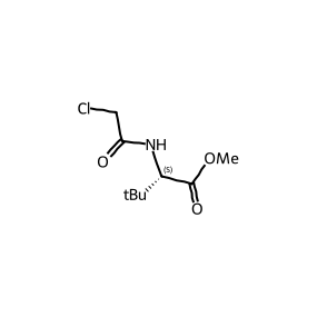 COC(=O)[C@@H](NC(=O)CCl)C(C)(C)C